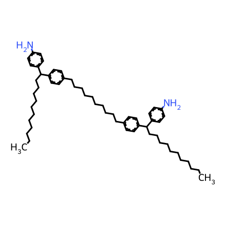 CCCCCCCCCCCC(c1ccc(N)cc1)c1ccc(CCCCCCCCCCc2ccc(C(CCCCCCCCCCC)c3ccc(N)cc3)cc2)cc1